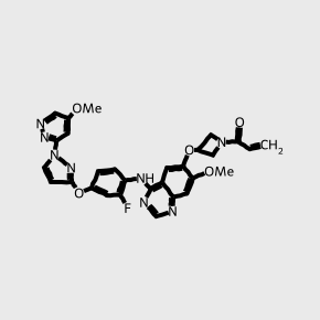 C=CC(=O)N1CC(Oc2cc3c(Nc4ccc(Oc5ccn(-c6cc(OC)cnn6)n5)cc4F)ncnc3cc2OC)C1